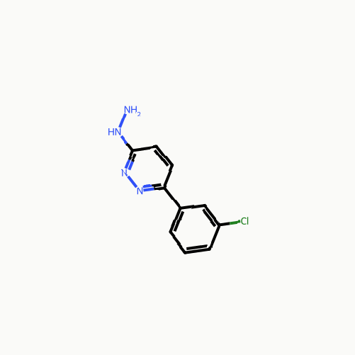 NNc1ccc(-c2cccc(Cl)c2)nn1